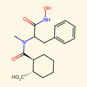 CN(C(=O)[C@H]1CCCC[C@@H]1C(=O)O)C(Cc1ccccc1)C(=O)NO